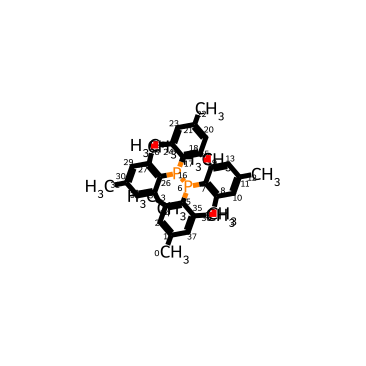 Cc1cc(C)c(P(c2c(C)cc(C)cc2C)P(c2c(C)cc(C)cc2C)c2c(C)cc(C)cc2C)c(C)c1